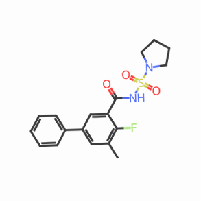 Cc1cc(-c2ccccc2)cc(C(=O)NS(=O)(=O)N2CCCC2)c1F